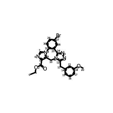 CCOC(=O)c1ncn2c1Cn1c(Cc3cccc(OC)c3)nnc1-c1cc(Br)ccc1-2